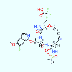 CC[C@@H]1O[C@H](C)CC/C=C\[C@@H]2C[C@@]2(C(=O)NS(=O)(=O)C2(C)CC2)NC(=O)[C@@H]2C[C@@H](Oc3nccc4cc(OC)c(F)cc34)CN2C(=O)[C@H]1N.O=C(O)C(F)(F)F